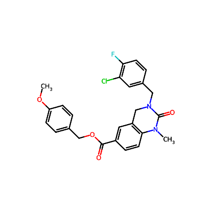 COc1ccc(COC(=O)c2ccc3c(c2)CN(Cc2ccc(F)c(Cl)c2)C(=O)N3C)cc1